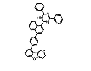 c1ccc(C2=NC(c3ccccc3)NC(c3ccc(-c4ccc(-c5cccc6oc7ccncc7c56)cc4)c4ccccc34)=N2)cc1